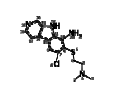 CN(C)CCSc1c(Cl)cc2c([nH]c3cnccc32)c1N